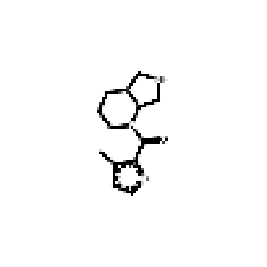 Cc1ccoc1C(=O)N1CCCC2CNCC21